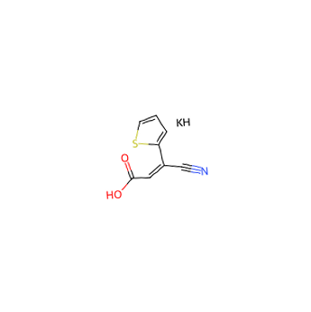 N#C/C(=C/C(=O)O)c1cccs1.[KH]